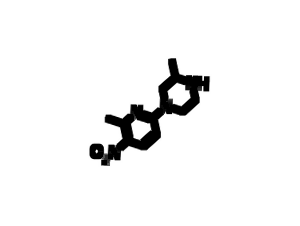 Cc1nc(N2CCNC(C)C2)ccc1[N+](=O)[O-]